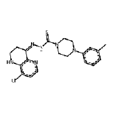 Cc1cccc(N2CCN(C(=S)N/N=C3/CCNc4c(Cl)ccnc43)CC2)c1